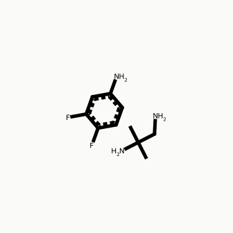 CC(C)(N)CN.Nc1ccc(F)c(F)c1